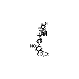 CCOC(=O)c1cc(C#N)c(N2CC3CC2CN3C(=O)NS(=O)(=O)c2ccc(Cl)s2)nc1C